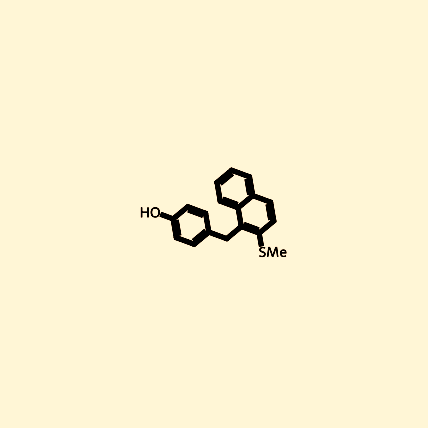 CSc1ccc2ccccc2c1Cc1ccc(O)cc1